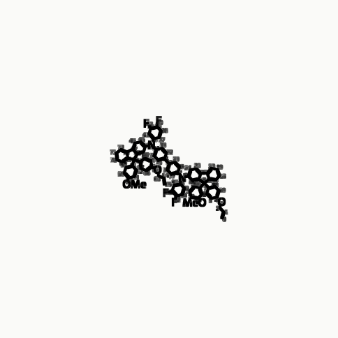 C=CCOc1ccc(C2(c3ccc(OC)cc3)c3ccccc3-c3ccc(N(c4ccc(-c5ccc(N(c6ccc(F)c(F)c6)c6ccc7c(c6)C(c6ccc(OC)cc6)(c6ccc(OCC=C)cc6)c6ccccc6-7)cc5)cc4)c4ccc(F)c(F)c4)cc32)cc1